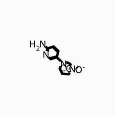 Nc1ccc(N2CC[N+]3([O-])CCC2CC3)cn1